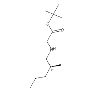 CCC[C@H](C)CNCC(=O)OC(C)(C)C